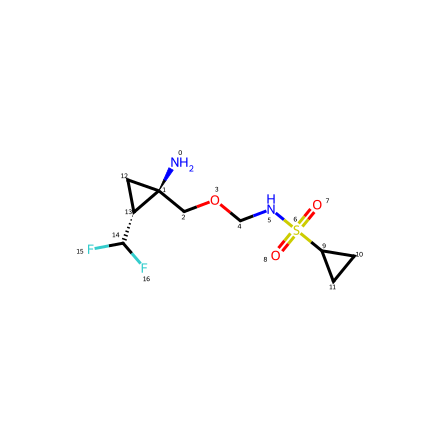 N[C@]1(COCNS(=O)(=O)C2CC2)C[C@H]1C(F)F